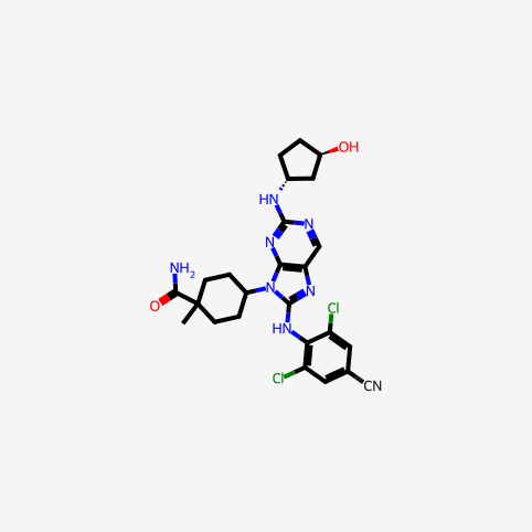 CC1(C(N)=O)CCC(n2c(Nc3c(Cl)cc(C#N)cc3Cl)nc3cnc(N[C@@H]4CC[C@@H](O)C4)nc32)CC1